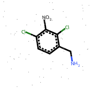 NCc1ccc(Cl)c([N+](=O)[O-])c1Cl